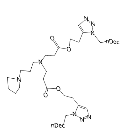 CCCCCCCCCCCn1nncc1CCOC(=O)CCN(CCCN1CCCC1)CCC(=O)OCCc1cnnn1CCCCCCCCCCC